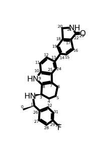 C[C@@H](N[C@@H]1CCCc2c1[nH]c1ccc(-c3ccc4c(c3)CNC4=O)cc21)c1ccc(F)cc1